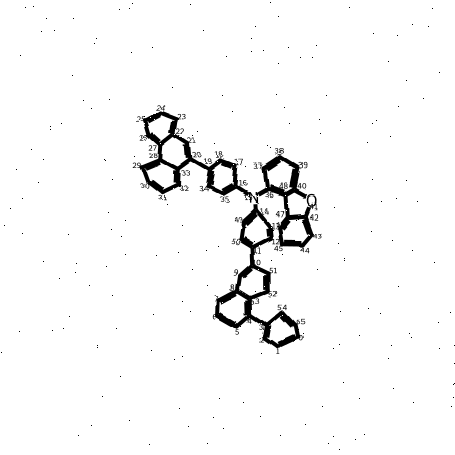 c1ccc(-c2cccc3cc(-c4ccc(N(c5ccc(-c6cc7ccccc7c7ccccc67)cc5)c5cccc6oc7ccccc7c56)cc4)ccc23)cc1